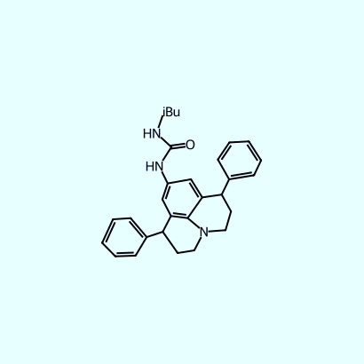 CCC(C)NC(=O)Nc1cc2c3c(c1)C(c1ccccc1)CCN3CCC2c1ccccc1